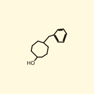 OC1CCCC(Cc2ccccc2)CCC1